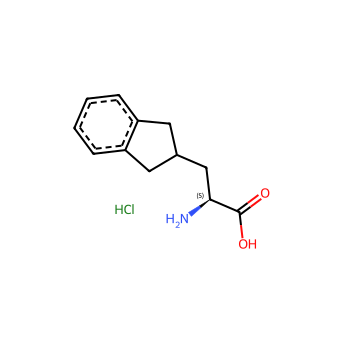 Cl.N[C@@H](CC1Cc2ccccc2C1)C(=O)O